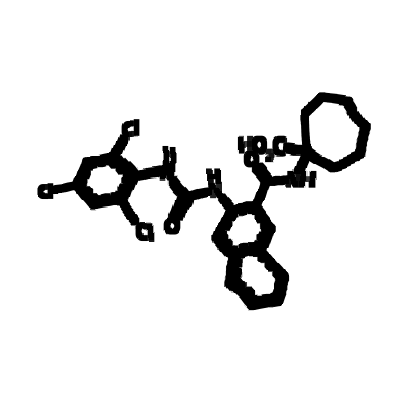 O=C(Nc1cc2ccccc2cc1C(=O)NC1(C(=O)O)CCCCCC1)Nc1c(Cl)cc(Cl)cc1Cl